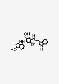 OCc1cc(NCCc2c[nH]c3ccccc23)c(Br)cc1Nc1ccnc2c1CCC2O